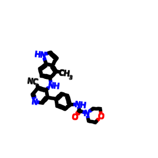 Cc1c(Nc2c(C#N)cncc2-c2ccc(NC(=O)N3CCOCC3)cc2)ccc2[nH]ccc12